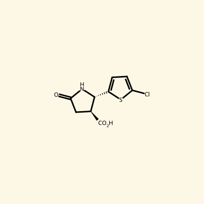 O=C1C[C@H](C(=O)O)[C@@H](c2ccc(Cl)s2)N1